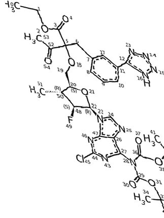 CCOC(=O)C(Cc1cccc(-c2nnn[nH]2)c1)(OC[C@H]1O[C@@H](n2cnc3c(N(C(=O)OC(C)(C)C)C(=O)OC(C)(C)C)nc(Cl)nc32)[C@@H](F)[C@@H]1C)C(C)=O